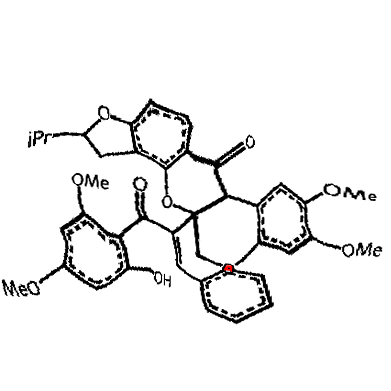 COc1cc(O)c(C(=O)C(=Cc2ccccc2)C23COc4cc(OC)c(OC)cc4C2C(=O)c2ccc4c(c2O3)CC(C(C)C)O4)c(OC)c1